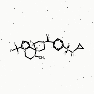 CN1CCn2c(C(F)(F)F)ccc2[C@]12CCN(C(=O)c1ccc(S(=O)(=O)NC3CC3)cc1)C[C@H]2F